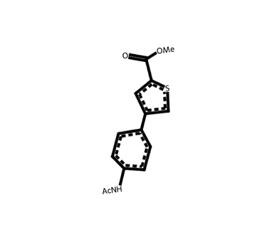 COC(=O)c1cc(-c2ccc(NC(C)=O)cc2)cs1